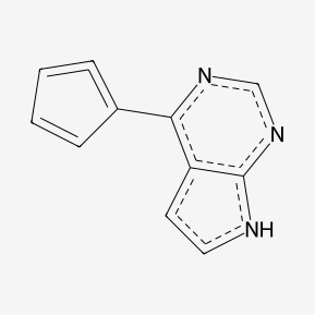 C1=CC=CC=1c1ncnc2[nH]ccc12